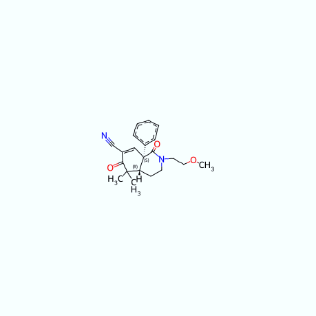 COCCN1CC[C@@H]2C(C)(C)C(=O)C(C#N)=C[C@@]2(c2ccccc2)C1=O